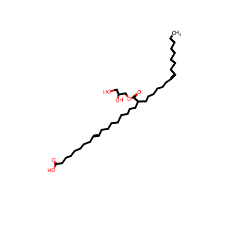 CCCCCCCC/C=C\CCCCCCC(CCCCCCCC/C=C/CCCCCCCC(=O)O)C(=O)OCC(O)CO